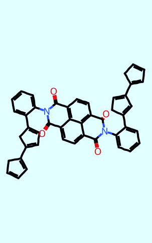 O=C1c2ccc3c4c(ccc(c24)C(=O)N1c1ccccc1C1=CC(C2=CC=CC2)=CC1)C(=O)N(c1ccccc1C1=CC=C(C2=CC=CC2)C1)C3=O